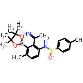 CC(=N)c1c(N[S+]([O-])c2ccc(C)cc2)ccc(C)c1B1OC(C)(C)C(C)(C)O1